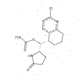 NC(=O)OC([C@@H]1CCC(=O)N1)[C@H]1CCCc2nc(Cl)ccc21